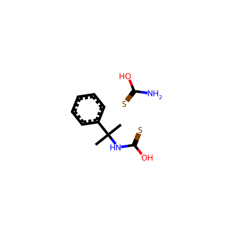 CC(C)(NC(O)=S)c1ccccc1.NC(O)=S